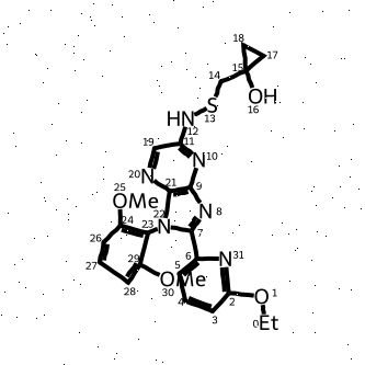 CCOc1cccc(-c2nc3nc(NSCC4(O)CC4)cnc3n2-c2c(OC)cccc2OC)n1